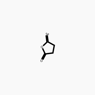 O=C1CCC(=[Se])O1